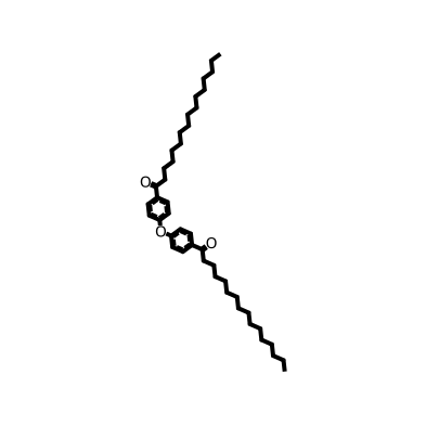 CCCCCCCCCCCCCCCC(=O)c1ccc(Oc2ccc(C(=O)CCCCCCCCCCCCCCC)cc2)cc1